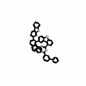 c1ccc(-c2cccc(-c3nc(-c4ccccc4)nc(-c4cccc5oc6ccc(-c7c(-c8ccc9c(c8)sc8ccccc89)ccc8oc9ccccc9c78)cc6c45)n3)c2)cc1